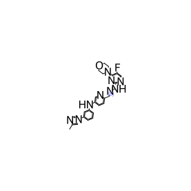 Cc1cn(-c2cccc(Nc3ccc(/C=N/Nc4ncc(F)c(N5CCOCC5)n4)nc3)c2)cn1